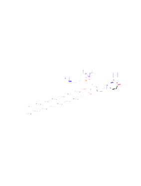 CCCCCCCCCCCCCCCCOC(OCCCCCCCCCCCCCCCC)O[C@@H]1C[C@H](n2cc(C)c(=O)[nH]c2=O)OC1COP(OCCC#N)N(C(C)C)C(C)C